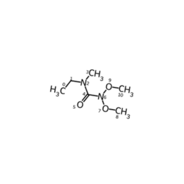 CCN(C)C(=O)N(OC)OC